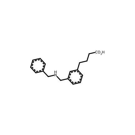 O=C(O)CCCc1cccc(CNCc2ccccc2)c1